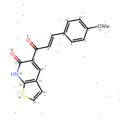 COc1ccc(C=CC(=O)c2cc3ccsc3[nH]c2=O)cc1